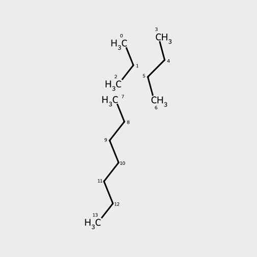 CCC.CCCC.CCCCCCC